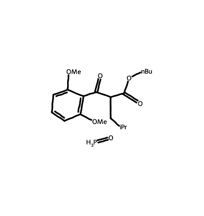 CCCCOC(=O)C(CC(C)C)C(=O)c1c(OC)cccc1OC.O=[PH3]